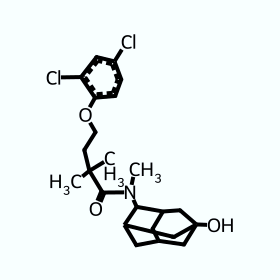 CN(C(=O)C(C)(C)CCOc1ccc(Cl)cc1Cl)C1C2CC3CC1CC(O)(C3)C2